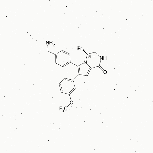 CC(C)[C@H]1CNC(=O)c2cc(-c3cccc(OC(F)(F)F)c3)c(-c3ccc(CN)cc3)n21